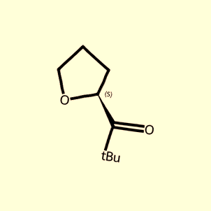 CC(C)(C)C(=O)[C@@H]1CCCO1